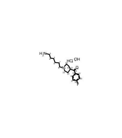 Cl.Cl.NCCCCCCN1CCC(C(=O)c2ccc(F)cc2)CC1